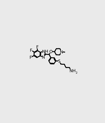 CN1CCC(OC(c2cccc(SCCCCN)c2)c2nc3cc(F)c(F)c(F)c3[nH]2)CC1